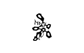 c1ccc(C2=NC(c3ccccc3)NC(c3ccccc3-c3ccc(-c4ccccc4)c4oc5nc6ccccc6cc5c34)N2)cc1